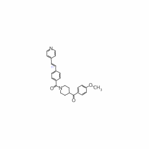 COc1ccc(C(=O)C2CCN(C(=O)c3ccc(/C=C/c4ccncc4)cc3)CC2)cc1